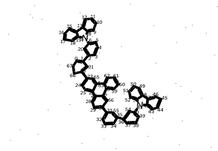 C1=C(c2cccc(-n3c4ccccc4c4ccccc43)c2)C=C(c2ccc3c4ccc(-c5cccc(-c6cccc(-n7c8ccccc8c8ccccc87)c6)c5)cc4c4ccccc4c3c2)CC1